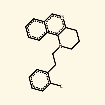 Clc1ccccc1CCN1CCCc2ncc3ccccc3c21